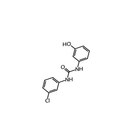 O=C(Nc1cccc(O)c1)Nc1cccc(Cl)c1